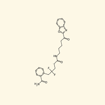 NC(=O)c1ccccc1CC(F)(F)C[CH]C(=O)NCCCCC(=O)c1nc2ccccc2o1